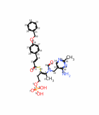 C/C(=C(\CCOP(=O)(O)O)SC(=O)/C=C/c1ccc(OCc2ccccc2)cc1)N(C=O)Cc1cnc(C)nc1N